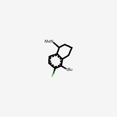 CNC1CCCc2c1ccc(F)c2C(C)(C)C